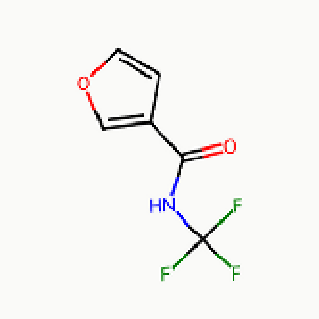 O=C(NC(F)(F)F)c1ccoc1